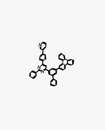 c1ccc(-c2cc(-c3ccc4c5ccccc5c5ccccc5c4c3)cc(-c3cc(-c4ccc(-c5cccnc5)cc4)nc(-c4ccccc4)n3)c2)cc1